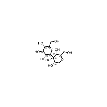 OC[C@H]1O[C@@H]([C@]2(O)[C@H](O)[C@@H](CO)O[CH][C@@H]2O)[C@H](O)[C@@H](O)[C@@H]1O